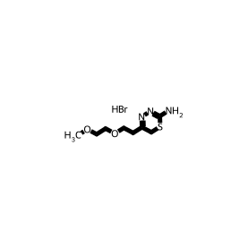 Br.COCCOCCC1=NN=C(N)SC1